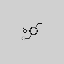 CCc1ccc(CCl)c(OC)c1